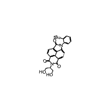 CC(C)(C)c1ccccc1N1C(=O)c2ccc3c4c(ccc1c24)C(=O)N(C(CO)CO)C3=O